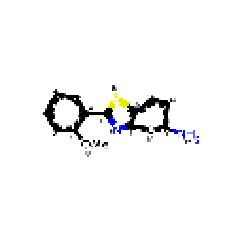 COc1ccccc1-c1nc2cc(N)ccc2s1